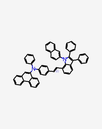 C(=C\c1cccc2c(-c3ccccc3)c(-c3ccccc3)n(-c3ccc4ccccc4c3)c12)/c1ccc(N(c2ccccc2)c2cc3ccccc3c3ccccc23)cc1